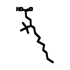 CCCCCCCCCC(CCC(=O)O)[N+](C)(C)C